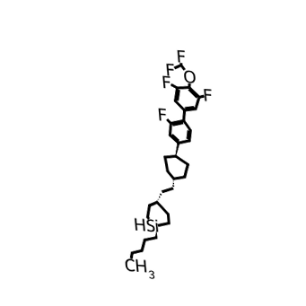 CCCCC[Si@H]1CC[C@H](CC[C@H]2CC[C@H](c3ccc(-c4cc(F)c(OC(F)F)c(F)c4)c(F)c3)CC2)CC1